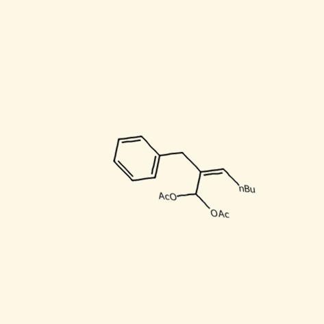 CCCCC=C(Cc1ccccc1)C(OC(C)=O)OC(C)=O